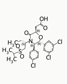 CC[C@@H](CS(=O)(=O)C(C)C)N1C(=O)[C@@H](CC(=O)O)O[C@H](c2cc(Cl)cc(Cl)c2)[C@H]1c1ccc(Cl)cc1